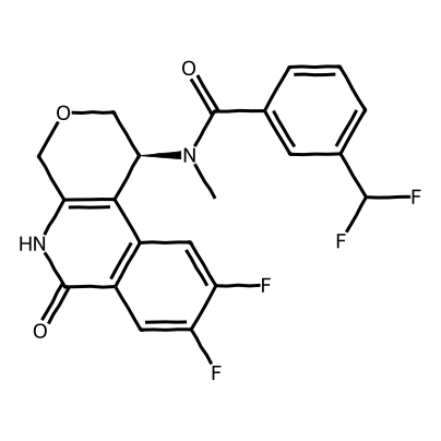 CN(C(=O)c1cccc(C(F)F)c1)[C@@H]1COCc2[nH]c(=O)c3cc(F)c(F)cc3c21